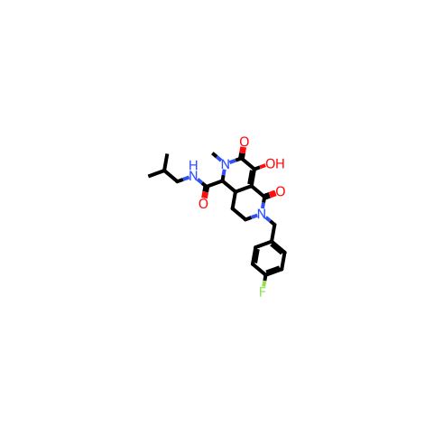 CC(C)CNC(=O)C1C2CCN(Cc3ccc(F)cc3)C(=O)C2=C(O)C(=O)N1C